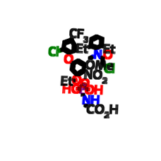 CCOc1cc(Oc2ccc(C(F)(F)F)cc2Cl)ccc1[N+](=O)[O-].CCc1cccc(CC)c1N(COC)C(=O)CCl.O=C(O)CNCP(=O)(O)O